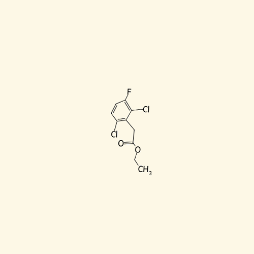 CCOC(=O)Cc1c(Cl)ccc(F)c1Cl